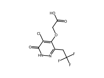 O=C(O)COc1c(CC(F)(F)F)n[nH]c(=O)c1Cl